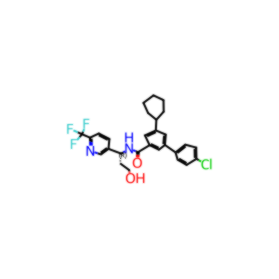 O=C(N[C@H](CCO)c1ccc(C(F)(F)F)nc1)c1cc(-c2ccc(Cl)cc2)cc(C2CCCCC2)c1